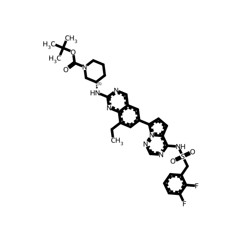 CCc1cc(-c2ccc3c(NS(=O)(=O)Cc4cccc(F)c4F)ncnn23)cc2cnc(N[C@H]3CCCN(C(=O)OC(C)(C)C)C3)nc12